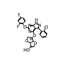 O[C@@H]1COC2C1OC[C@H]2Oc1nc(Oc2ccc(F)cc2F)nc2[nH]nc(-c3ccccc3Cl)c12